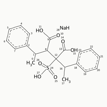 CC(c1ccccc1)C(C(=O)O)C(C(=O)O)(C(C)c1ccccc1)S(=O)(=O)O.[NaH]